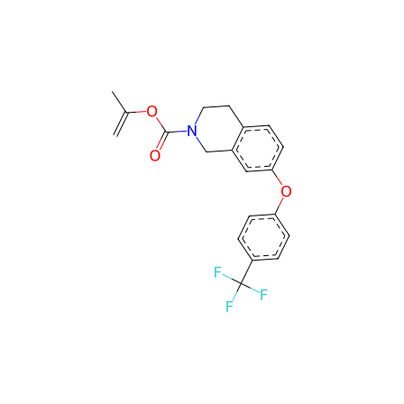 C=C(C)OC(=O)N1CCc2ccc(Oc3ccc(C(F)(F)F)cc3)cc2C1